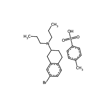 CCCN(CCC)C1CCc2ccc(Br)cc2C1.Cc1ccc(S(=O)(=O)O)cc1